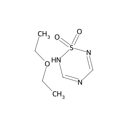 CCOCC.O=S1(=O)N=CN=CN1